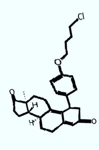 C[C@]12CCC3=C4C(=CC(=O)CC4c4ccc(OCCCCCl)cc4)CC[C@H]3[C@@H]1CCC2=O